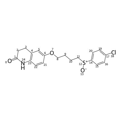 O=C1CCc2cc(OCCCC[S+]([O-])c3ccc(Cl)cc3)ccc2N1